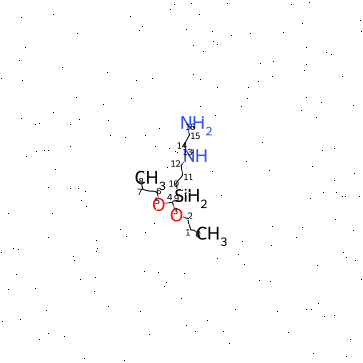 CCCOC(OCCC)[SiH2]CCCNCCN